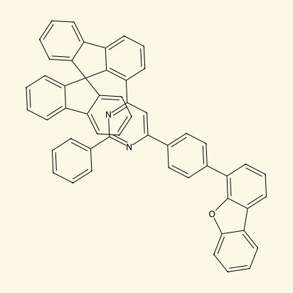 c1ccc(-c2nc(-c3ccc(-c4cccc5c4oc4ccccc45)cc3)cc(-c3cccc4c3C3(c5ccccc5-c5ccccc53)c3ccccc3-4)n2)cc1